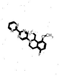 CCC1c2c(OC)ccc(F)c2CCN1c1cnc(-c2ncccn2)nc1